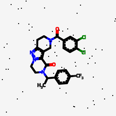 CC(c1ccc(C(F)(F)F)cc1)N1CCn2nc3c(c2C1=O)CN(C(=O)c1ccc(Cl)c(Cl)c1)CC3